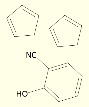 C1=CCC=C1.C1=CCC=C1.N#Cc1ccccc1O